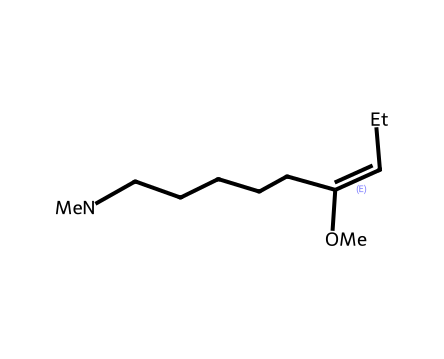 CC/C=C(\CCCCCNC)OC